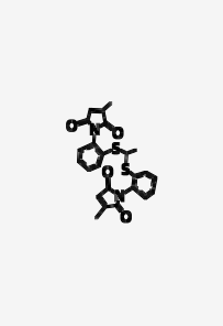 CC1=CC(=O)N(c2ccccc2SC(C)Sc2ccccc2N2C(=O)C=C(C)C2=O)C1=O